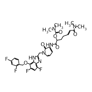 CN(C)C(=O)/C=C/CCC(OC(=O)N(C)C)C(=O)Nc1cccn(Cc2nc3c(F)cc(F)c(OCc4ccc(F)cc4F)c3[nH]2)c1=O